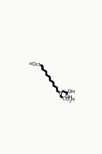 CCCCCCCCC=CCCCCCCCCN(CC(=O)O)CC(O)O